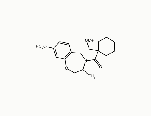 COCC1(C(=O)N2Cc3ccc(C(=O)O)cc3OCC2C)CCCCC1